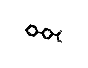 NC(=O)c1cnc(-c2ccccc2)cn1